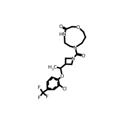 CC(Oc1ccc(C(F)(F)F)cc1Cl)C1CN(C(=O)N2CCCOCC(=O)NCC2)C1